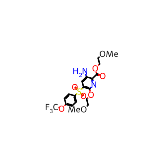 COCCOC(=O)c1nc(OCCOC)c(S(=O)(=O)c2ccc(OC(F)(F)F)cc2)cc1N